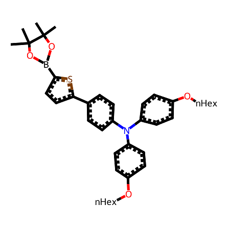 CCCCCCOc1ccc(N(c2ccc(OCCCCCC)cc2)c2ccc(-c3ccc(B4OC(C)(C)C(C)(C)O4)s3)cc2)cc1